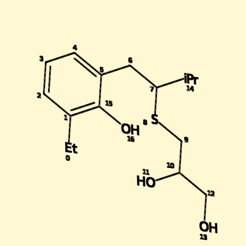 CCc1cccc(CC(SCC(O)CO)C(C)C)c1O